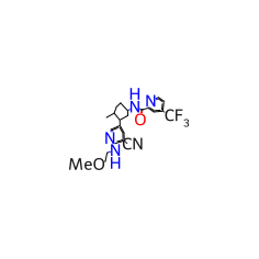 COCCNc1ncc(C2CC(NC(=O)c3cc(C(F)(F)F)ccn3)CCC2C)cc1C#N